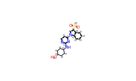 CS(=O)(=O)c1cn(-c2ccnc(NC3CCC(O)CC3)n2)c2ccccc12